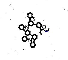 C=Cc1c(/C=C\C)oc2ccc(-c3cc(-n4c5ccccc5c5ccc(-c6cccc7c8ccccc8n(-c8ccccc8)c67)cc54)cc4c3sc3ccccc34)cc12